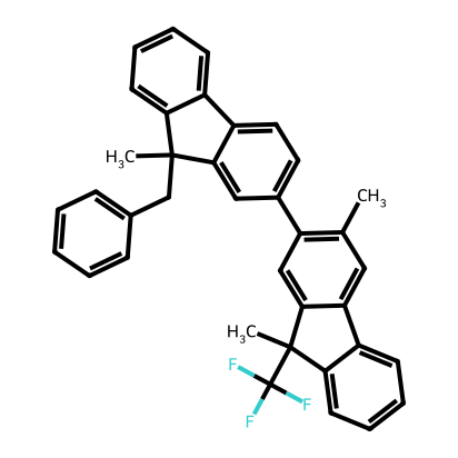 Cc1cc2c(cc1-c1ccc3c(c1)C(C)(Cc1ccccc1)c1ccccc1-3)C(C)(C(F)(F)F)c1ccccc1-2